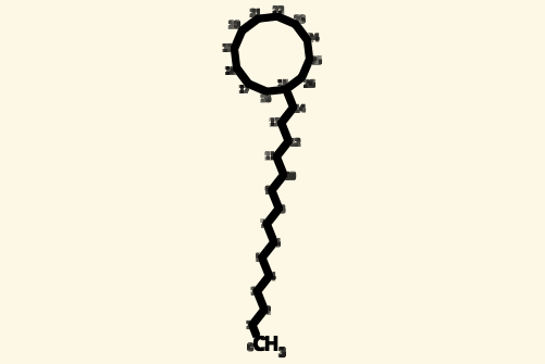 CCCCCCCCCCCCCCCC1CCCCCCCCCCC1